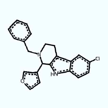 Clc1ccc2[nH]c3c(c2c1)CCN(Cc1ccccc1)C3c1ccoc1